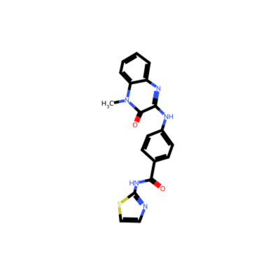 Cn1c(=O)c(Nc2ccc(C(=O)Nc3nccs3)cc2)nc2ccccc21